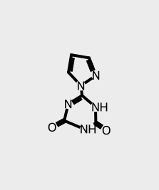 O=c1nc(-n2cccn2)[nH]c(=O)[nH]1